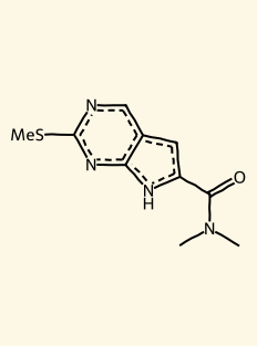 CSc1ncc2cc(C(=O)N(C)C)[nH]c2n1